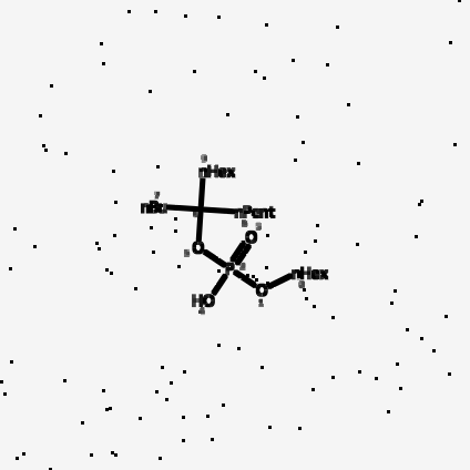 CCCCCCOP(=O)(O)OC(CCCC)(CCCCC)CCCCCC